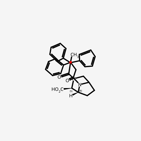 CC(CC(=O)N1C2CC[C@@H]1[C@@H](C(=O)O)N(C(=O)C(c1ccccc1)c1ccccc1)C2)c1ccccc1